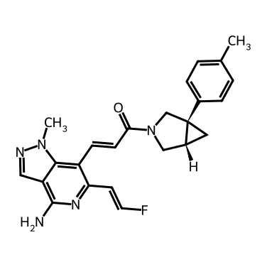 Cc1ccc([C@@]23C[C@@H]2CN(C(=O)/C=C/c2c(/C=C/F)nc(N)c4cnn(C)c24)C3)cc1